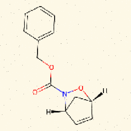 O=C(OCc1ccccc1)N1O[C@@H]2C=C[C@H]1C2